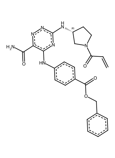 C=CC(=O)N1CC[C@@H](Nc2nnc(C(N)=O)c(Nc3ccc(C(=O)OCc4ccccc4)cc3)n2)C1